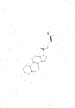 C[C@H]1CCC2C3CC[C@@]4(C)C(CC[C@@H]4C(=O)CN/C=C(/C#N)C=N)C3CC[C@@H]2C1